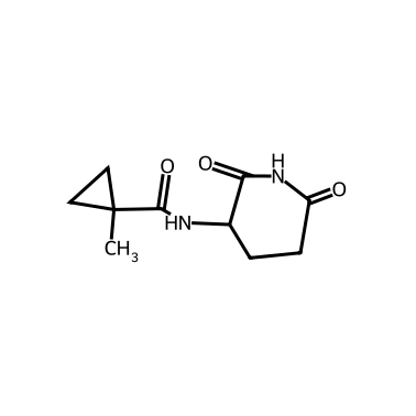 CC1(C(=O)NC2CCC(=O)NC2=O)CC1